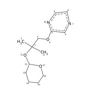 CC(C)(COc1cnccn1)OC1CCCCO1